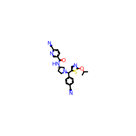 CC(C)Oc1ncc(C(c2ccc(C#N)cc2)N2CC[C@@H](NC(=O)c3ccc(C#N)nc3)C2)s1